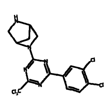 Clc1ccc(-c2nc(N3CC4CC3CN4)nc(C(Cl)(Cl)Cl)n2)cc1Cl